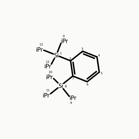 CC(C)[Si](c1[c]cccc1[Si](C(C)C)(C(C)C)C(C)C)(C(C)C)C(C)C